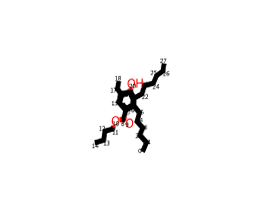 CCCCCCc1c(C(=O)OCCCC)cc(CC)c(O)c1CCCCCC